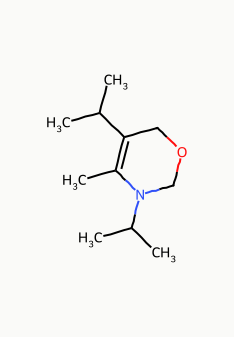 CC1=C(C(C)C)COCN1C(C)C